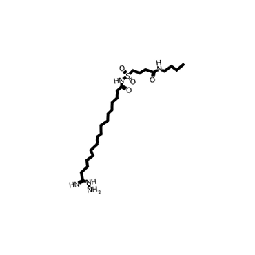 CCCCNC(=O)CCCS(=O)(=O)NC(=O)CCCCCCCCCCCCCCCC(=N)NN